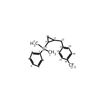 C[Si](C)(c1ccccc1)C1CC1Cc1ccc(C(F)(F)F)cc1